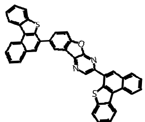 c1ccc2c(c1)cc(-c1ccc3oc4nc(-c5cc6ccccc6c6c5sc5ccccc56)cnc4c3c1)c1sc3ccccc3c12